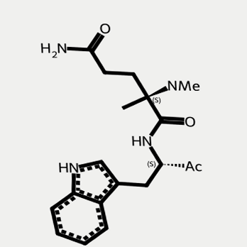 CN[C@@](C)(CCC(N)=O)C(=O)N[C@@H](Cc1c[nH]c2ccccc12)C(C)=O